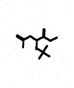 C=C(C)CC(SC(C)(C)C)C(=C)CC